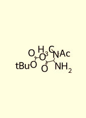 CC(=O)N(C)C(N)C(=O)OC(=O)OC(C)(C)C